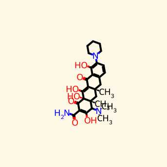 CN(C)C1C(O)=C(C(N)=O)C(=O)[C@]2(O)C(O)=C3C(=O)c4c(ccc(N5CCCCC5)c4O)C[C@]3(C)C[C@]12C